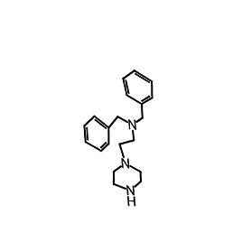 c1ccc(CN(CCN2CCNCC2)Cc2ccccc2)cc1